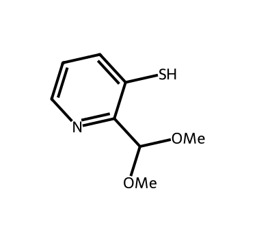 COC(OC)c1ncccc1S